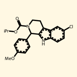 COc1ccc(C2c3[nH]c4ccc(Cl)cc4c3CCN2C(=O)OC(C)C)cc1